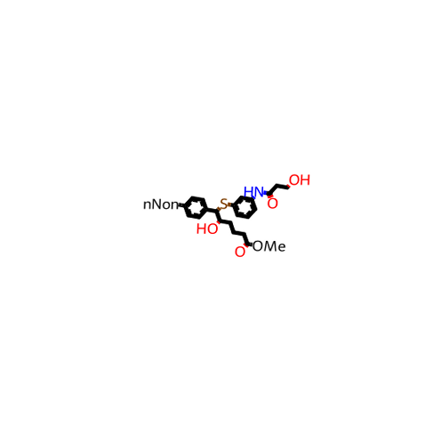 CCCCCCCCCc1ccc(C(Sc2cccc(NC(=O)CCO)c2)C(O)CCCC(=O)OC)cc1